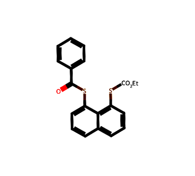 CCOC(=O)Sc1cccc2cccc(SC(=O)c3ccccc3)c12